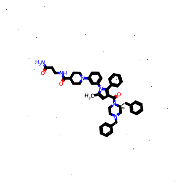 Cc1cc(C(=O)N2CCN(Cc3ccccc3)C[C@H]2Cc2ccccc2)c(-c2ccccc2)n1-c1cccc(N2CCC(C(=O)NCCC(N)=O)CC2)c1